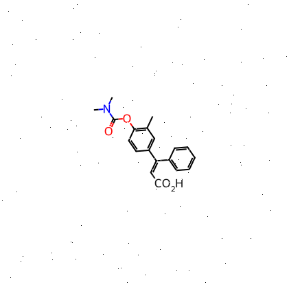 Cc1cc(C(=CC(=O)O)c2ccccc2)ccc1OC(=O)N(C)C